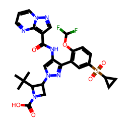 CC(C)(C)C1C(n2cc(NC(=O)c3cnn4cccnc34)c(-c3cc(S(=O)(=O)C4CC4)ccc3OC(F)F)n2)CN1C(=O)O